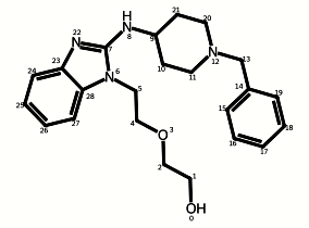 OCCOCCn1c(NC2CCN(Cc3ccccc3)CC2)nc2ccccc21